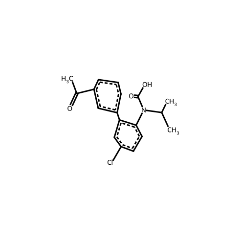 CC(=O)c1cccc(-c2cc(Cl)ccc2N(C(=O)O)C(C)C)c1